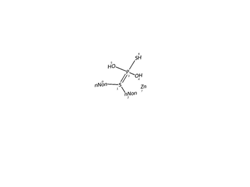 CCCCCCCCCS(CCCCCCCCC)=P(O)(O)S.[Zn]